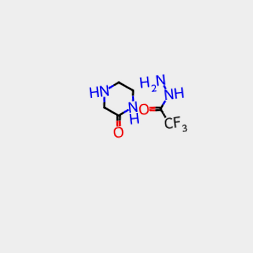 NNC(=O)C(F)(F)F.O=C1CNCCN1